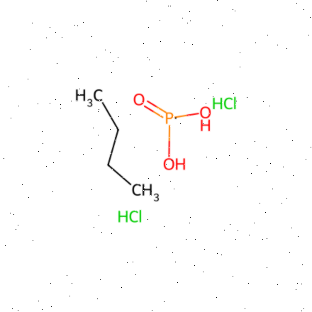 CCCC.Cl.Cl.O=[P](O)O